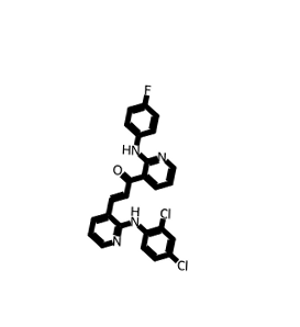 O=C(/C=C/c1cccnc1Nc1ccc(Cl)cc1Cl)c1cccnc1Nc1ccc(F)cc1